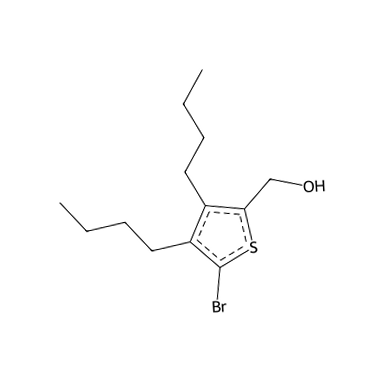 CCCCc1c(Br)sc(CO)c1CCCC